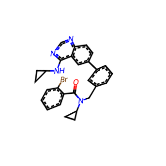 O=C(c1ccccc1Br)N(Cc1cccc(-c2ccc3ncnc(NC4CC4)c3c2)c1)C1CC1